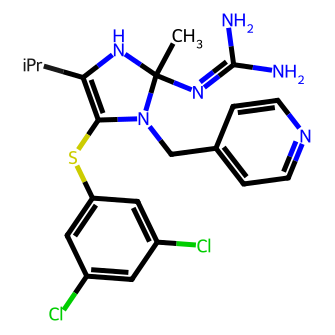 CC(C)C1=C(Sc2cc(Cl)cc(Cl)c2)N(Cc2ccncc2)C(C)(N=C(N)N)N1